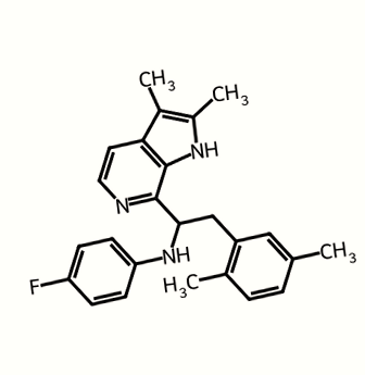 Cc1ccc(C)c(CC(Nc2ccc(F)cc2)c2nccc3c(C)c(C)[nH]c23)c1